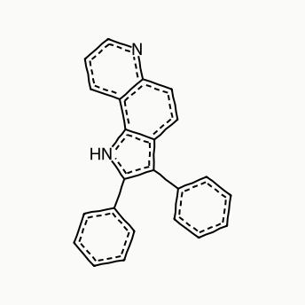 c1ccc(-c2[nH]c3c(ccc4ncccc43)c2-c2ccccc2)cc1